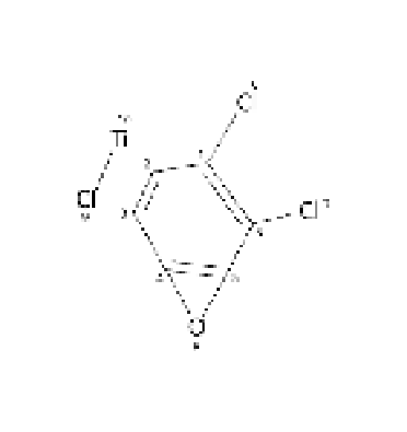 Clc1ccc2c(c1Cl)O2.[Cl][Ti]